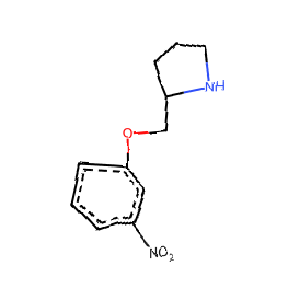 O=[N+]([O-])c1cccc(OCC2CCCN2)c1